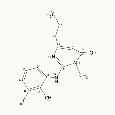 CCCc1cc(=O)n(C)c(Nc2cccc(I)c2C)n1